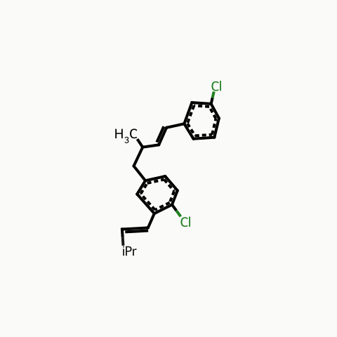 CC(C)/C=C/c1cc(CC(C)/C=C/c2cccc(Cl)c2)ccc1Cl